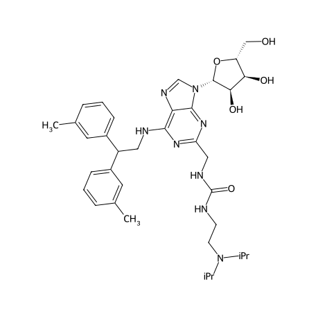 Cc1cccc(C(CNc2nc(CNC(=O)NCCN(C(C)C)C(C)C)nc3c2ncn3[C@@H]2O[C@H](CO)[C@@H](O)[C@H]2O)c2cccc(C)c2)c1